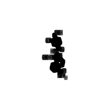 NC(=O)c1cccc2c1CCc1sc(NC(=O)c3ccc(CO)c(Cl)c3)c(C=O)c1-2